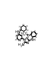 COc1ccccc1Nc1nc(N)n(-c2cc(NC3CCCCC3)ncn2)n1